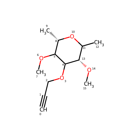 C#CCOC1C(OC)[C@H](C)OC(C)[C@@H]1OC